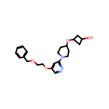 OC1CC(OC2CCN(c3cc(OCCOCc4ccccc4)cnn3)CC2)C1